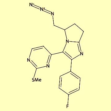 CSc1nccc(-c2c(-c3ccc(F)cc3)nc3n2C(CN=[N+]=[N-])CC3)n1